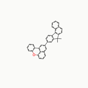 CC1(C)c2cc(-c3cc4c5c(cccc5c3)Oc3ccccc3-4)ccc2-c2c1ccc1ccccc21